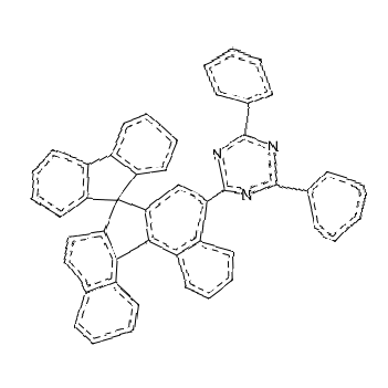 c1ccc(-c2nc(-c3ccccc3)nc(-c3cc4c(c5ccccc35)-c3c(ccc5ccccc35)C43c4ccccc4-c4ccccc43)n2)cc1